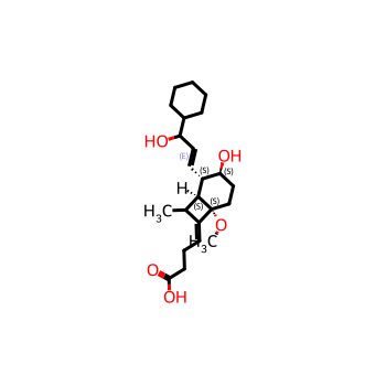 CO[C@@]12CC[C@H](O)[C@@H](/C=C/C(O)C3CCCCC3)[C@@H]1C(C)C2=CCCC(=O)O